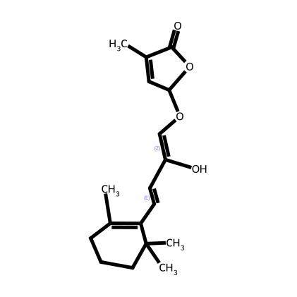 CC1=CC(O/C=C(O)/C=C/C2=C(C)CCCC2(C)C)OC1=O